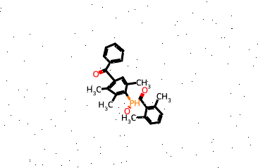 Cc1cccc(C)c1C(=O)[PH](=O)c1c(C)cc(C(=O)c2ccccc2)c(C)c1C